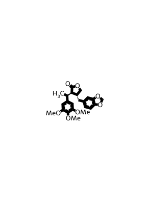 COc1cc(C(C)[C@H]2C(=O)OC[C@@H]2Cc2ccc3c(c2)OCO3)cc(OC)c1OC